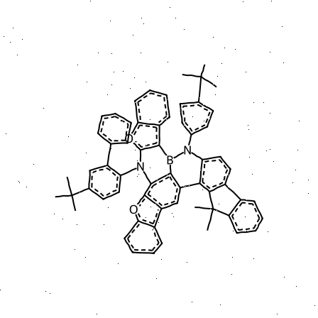 CC(C)(C)c1ccc(N2B3c4c(cc5c(oc6ccccc65)c4N(c4ccc(C(C)(C)C)cc4-c4ccccc4)c4oc5ccccc5c43)-c3c2ccc2c3C(C)(C)c3ccccc3-2)cc1